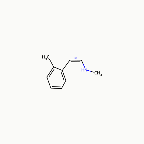 CN/C=C\c1ccccc1C